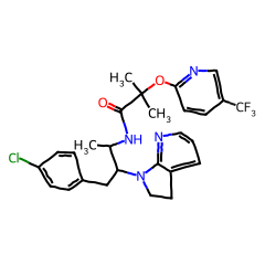 CC(NC(=O)C(C)(C)Oc1ccc(C(F)(F)F)cn1)C(Cc1ccc(Cl)cc1)N1CCc2cccnc21